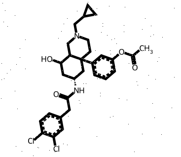 CC(=O)Oc1cccc(C23CCN(CC4CC4)CC2C(O)C[C@@H](NC(=O)Cc2ccc(Cl)c(Cl)c2)C3)c1